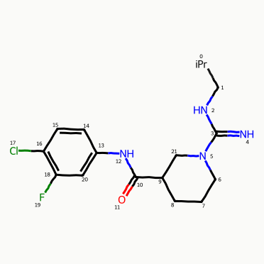 CC(C)CNC(=N)N1CCCC(C(=O)Nc2ccc(Cl)c(F)c2)C1